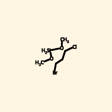 CO[SiH2]OC.ClCCCBr